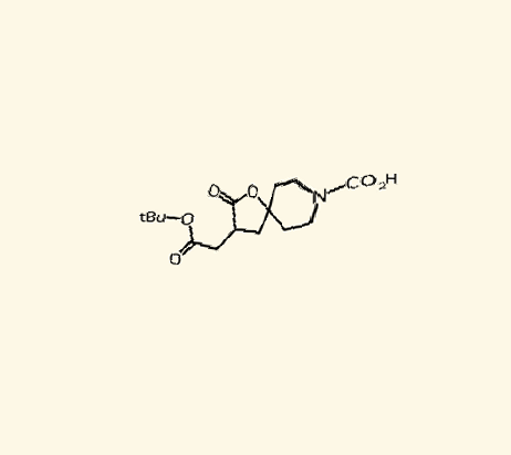 CC(C)(C)OC(=O)CC1CC2(CCN(C(=O)O)CC2)OC1=O